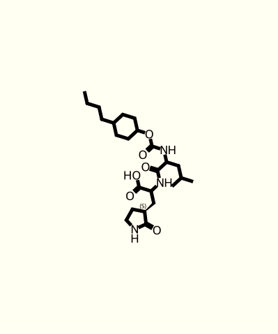 CCCCC1CCC(OC(=O)NC(CC(C)C)C(=O)NC(C[C@@H]2CCNC2=O)C(=O)O)CC1